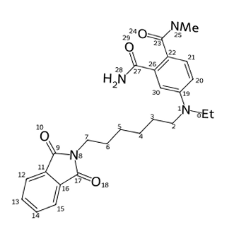 CCN(CCCCCCN1C(=O)c2ccccc2C1=O)c1ccc(C(=O)NC)c(C(N)=O)c1